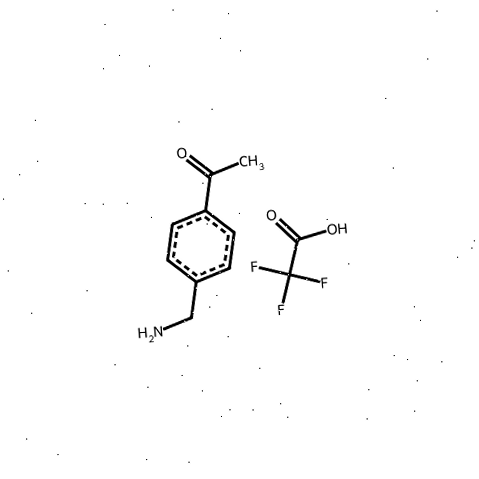 CC(=O)c1ccc(CN)cc1.O=C(O)C(F)(F)F